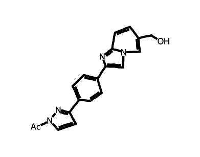 CC(=O)n1ccc(-c2ccc(-c3cn4cc(CO)ccc4n3)cc2)n1